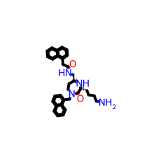 NCCCC[C@H]1N[C@H](CNC(=O)Cc2cccc3ccccc23)CCN(Cc2cccc3ccccc23)C1=O